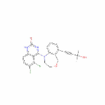 CC(C)(O)C#Cc1cccc2c1COCCN2c1nc(=O)[nH]c2ccc(F)c(F)c12